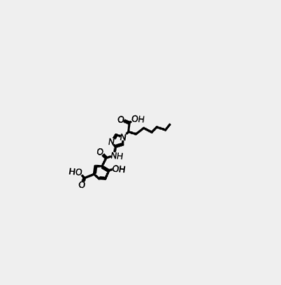 CCCCCCC(C(=O)O)n1cnc(NC(=O)c2cc(C(=O)O)ccc2O)c1